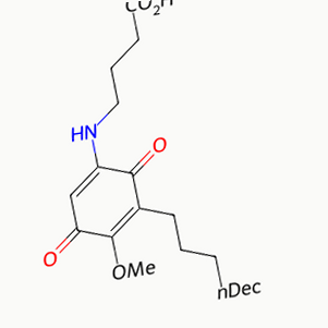 CCCCCCCCCCCCCC1=C(OC)C(=O)C=C(NCCCC(=O)O)C1=O